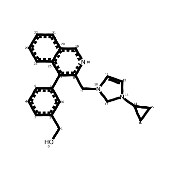 OCc1cccc(-c2c(CN3C=CN(C4CC4)C3)ncc3ccccc23)c1